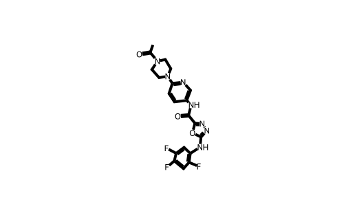 CC(=O)N1CCN(c2ccc(NC(=O)c3nnc(Nc4cc(F)c(F)cc4F)o3)cn2)CC1